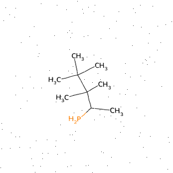 CC(P)C(C)(C)C(C)(C)C